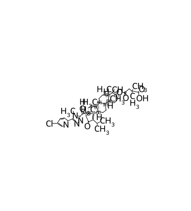 CC(C)C1=C2[C@H]3CC[C@@H]4[C@@]5(C)CC[C@H](OC(=O)CC(C)(C)C(=O)O)C(C)(C)[C@@H]5CC[C@@]4(C)[C@]3(C)CC[C@@]2([C@H](O)c2nnc(-c3ccc(Cl)cn3)n2C)CC1=O